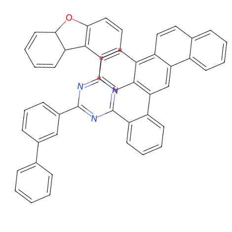 C1=CC2Oc3cccc(-c4nc(-c5cccc(-c6ccccc6)c5)nc(-c5ccccc5-c5cc6c7ccccc7ccc6c6ccccc56)n4)c3C2C=C1